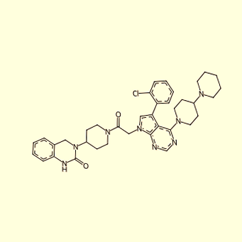 O=C(Cn1cc(-c2ccccc2Cl)c2c(N3CCC(N4CCCCC4)CC3)ncnc21)N1CCC(N2Cc3ccccc3NC2=O)CC1